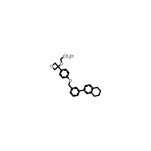 CCOC(=O)COC1(c2ccc(OCc3cccc(-c4ccc5c(c4)CCCC5)c3)cc2)COC1